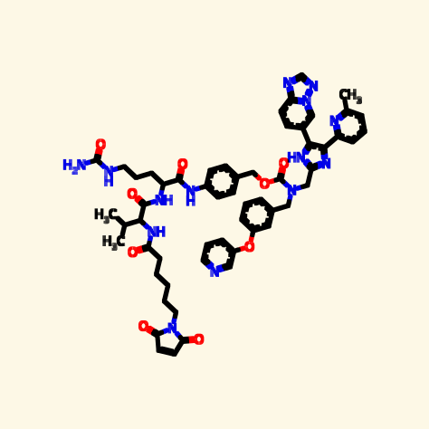 Cc1cccc(-c2nc(CN(Cc3cccc(Oc4cccnc4)c3)C(=O)OCc3ccc(NC(=O)C(CCCNC(N)=O)NC(=O)C(NC(=O)CCCCCN4C(=O)C=CC4=O)C(C)C)cc3)[nH]c2-c2ccc3ncnn3c2)n1